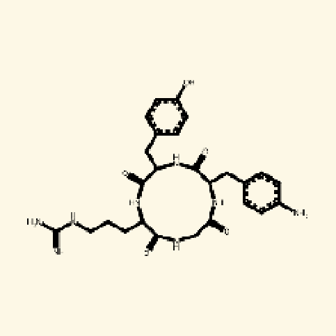 N=C(N)NCCCC1NC(=O)C(Cc2ccc(O)cc2)NC(=O)C(Cc2ccc(N)cc2)NC(=O)CNC1=O